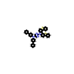 c1ccc(-c2ccc(N(c3ccc(-c4ccccc4)cc3)c3cnc(-n4c5ccc6c7ccccc7sc6c5c5c6c(ccc54)sc4ccccc46)nc3)cc2)cc1